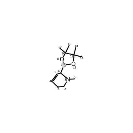 CN1CCC=CC1B1OC(C)(C)C(C)(C)O1